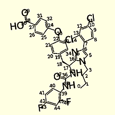 CCCCn1cc(-c2ccc(Cl)cc2Cl)nc1[C@H](Cc1ccc(Oc2ccc(C(=O)O)cc2)cc1)NC(=O)Nc1ccc(F)cc1F